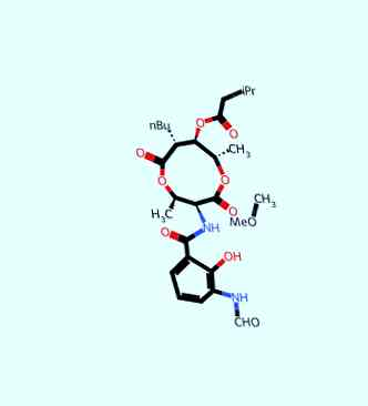 CCCC[C@H]1C(=O)O[C@H](C)[C@H](NC(=O)c2cccc(NC=O)c2O)C(=O)O[C@@H](C)[C@@H]1OC(=O)CC(C)C.COC